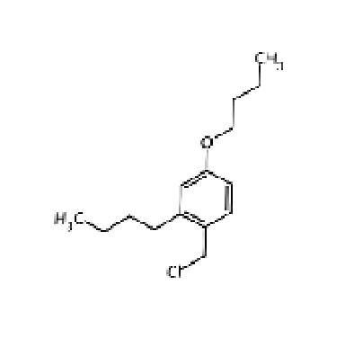 CCCCOc1ccc(CCl)c(CCCC)c1